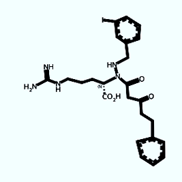 N=C(N)NCCC[C@@H](C(=O)O)N(NCc1cccc(I)c1)C(=O)CC(=O)CCc1ccccc1